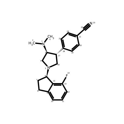 CN(C)[C@@H]1CN([C@@H]2CCc3cccc(F)c32)C[C@H]1c1ccc(C#N)cc1